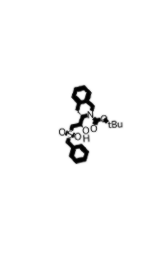 CC(C)(C)OC(=O)N1Cc2ccccc2C[C@H]1[C@H](O)CS(=O)(=O)Cc1ccccc1